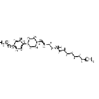 CCCCCCCCNCC/C=C/C1CCC(c2ccc(OC)cc2)CC1